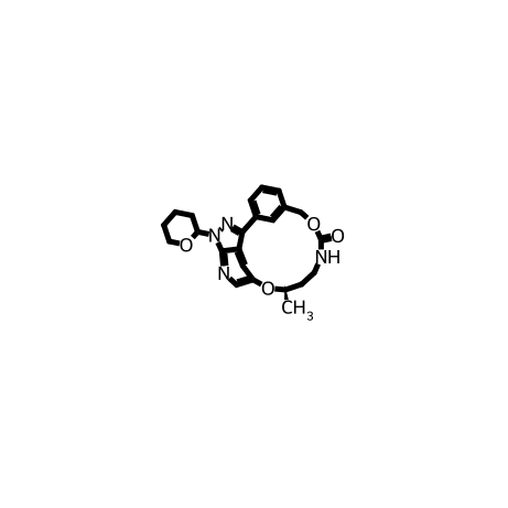 C[C@@H]1CCNC(=O)OCc2cccc(c2)-c2nn(C3CCCCO3)c3ncc(cc23)O1